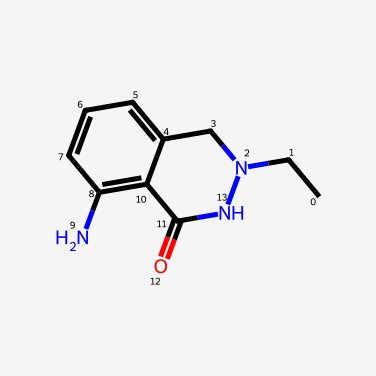 CCN1Cc2cccc(N)c2C(=O)N1